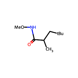 CONC(=O)C(C)CC(C)(C)C